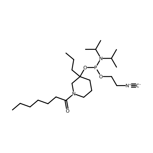 [C-]#[N+]CCOP(OC1(CCC)CCCN(C(=O)CCCCCC)C1)N(C(C)C)C(C)C